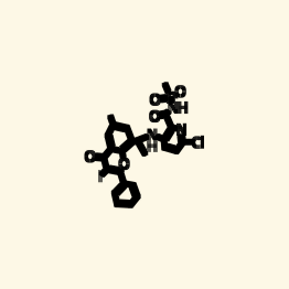 Cc1cc(C(C)Nc2ccc(Cl)nc2C(=O)NS(C)(=O)=O)c2oc(-c3ccccc3)c(I)c(=O)c2c1